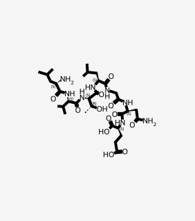 CC(C)C[C@H](NC(=O)[C@@H](NC(=O)[C@@H](NC(=O)[C@@H](N)CC(C)C)C(C)C)[C@@H](C)O)C(=O)NCC(=O)N[C@@H](CC(N)=O)C(=O)N[C@@H](CCC(=O)O)C(=O)O